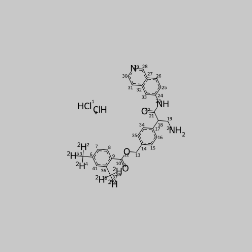 Cl.Cl.[2H]C([2H])([2H])c1ccc(C(=O)OCc2ccc(C(CN)C(=O)Nc3ccc4cnccc4c3)cc2)c(C([2H])([2H])[2H])c1